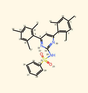 Cc1cc(C)c(-c2cc(-c3c(C)cc(C)cc3C)nc(NS(=O)(=O)c3ccccc3)n2)c(C)c1